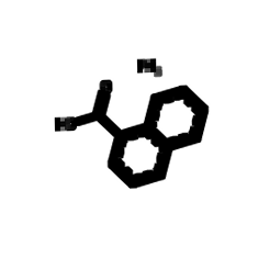 O=C(O)c1cccc2ccccc12.P